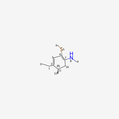 CCC1=CC(SC)=C(NC)C[C@H]1C